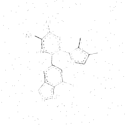 Cc1coc(-c2nc(N)c(C#N)nc2-c2cc(Cl)c3[nH]ncc3c2)c1C